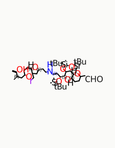 C=C(O)[C@H](C)CC1CC[C@@H]2O[C@@H](CCN/C=C/C(O[Si](C)(C)C(C)(C)C)[C@@H]3O[C@H]4CCC(CC=O)O[C@@H]4C(O[Si](C)(C)C(C)(C)C)C3O[Si](C)(C)C(C)(C)C)CC2(CI)O1